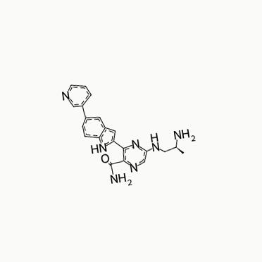 C[C@H](N)CNc1cnc(C(N)=O)c(-c2cc3cc(-c4cccnc4)ccc3[nH]2)n1